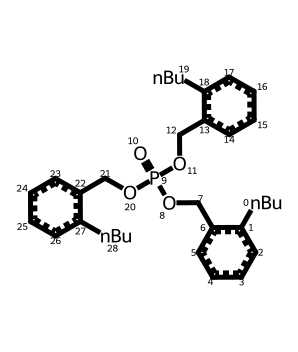 CCCCc1ccccc1COP(=O)(OCc1ccccc1CCCC)OCc1ccccc1CCCC